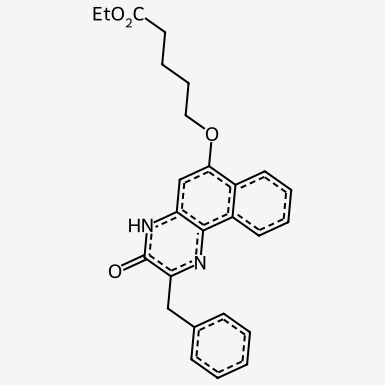 CCOC(=O)CCCCOc1cc2[nH]c(=O)c(Cc3ccccc3)nc2c2ccccc12